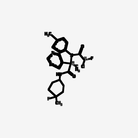 Cc1ccc(N(C(=O)[C@H](F)Cl)[C@@](C)(C(=O)NC2CCC(C)(F)CC2)c2cncnc2)cc1